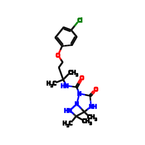 CC(C)(CCOc1ccc(Cl)cc1)NC(=O)N1C(=O)NC2(C)N1NC2(C)C